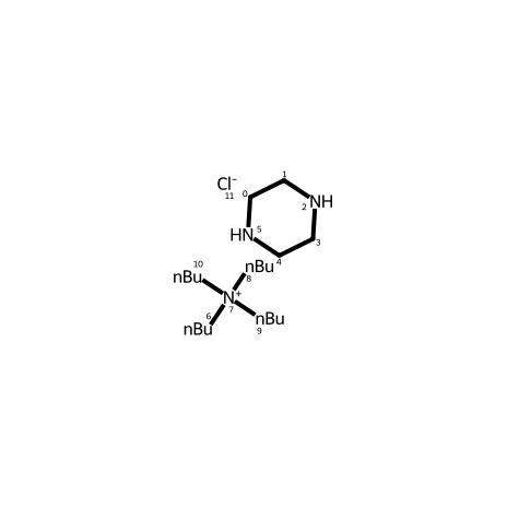 C1CNCCN1.CCCC[N+](CCCC)(CCCC)CCCC.[Cl-]